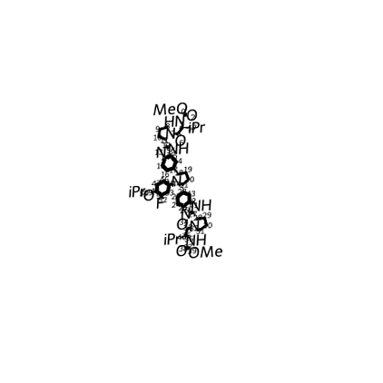 COC(=O)N[C@H](C(=O)N1CCC[C@H]1c1nc2ccc([C@H]3CC[C@H](c4ccc5nc([C@@H]6CCCN6C(=O)[C@@H](NC(=O)OC)C(C)C)[nH]c5c4)N3c3ccc(OC(C)C)c(F)c3)cc2[nH]1)C(C)C